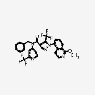 COc1nccc2c(-n3ncc(C(=O)N(Cc4ccccc4)c4ccnc(C(F)(F)F)c4)c3C(F)(F)F)cccc12